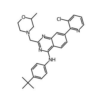 CC1CN(Cc2nc(Nc3ccc(C(C)(C)C)cc3)c3ccc(-c4ncccc4Cl)cc3n2)CCO1